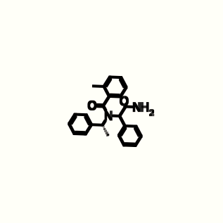 Cc1ccccc1C(=O)N(C(C(N)=O)c1ccccc1)[C@H](C)c1ccccc1